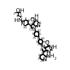 CC(C)(O)CCNc1ccc(-c2cn(-c3ccc(-c4ccc(-n5cc(-c6cccnc6N)c6nc[nH]c(=O)c65)cc4)cc3)c3nc[nH]c(=O)c23)cn1